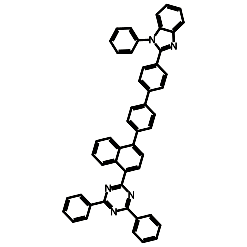 c1ccc(-c2nc(-c3ccccc3)nc(-c3ccc(-c4ccc(-c5ccc(-c6nc7ccccc7n6-c6ccccc6)cc5)cc4)c4ccccc34)n2)cc1